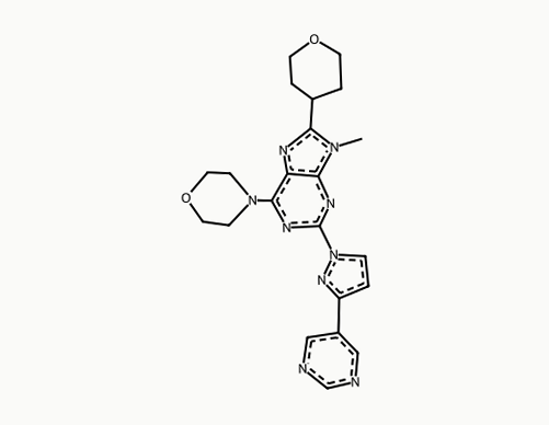 Cn1c(C2CCOCC2)nc2c(N3CCOCC3)nc(-n3ccc(-c4cncnc4)n3)nc21